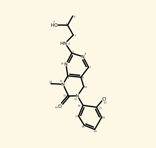 CC(O)CNc1ncc2c(n1)N(C)C(=O)N(c1ccccc1Cl)C2